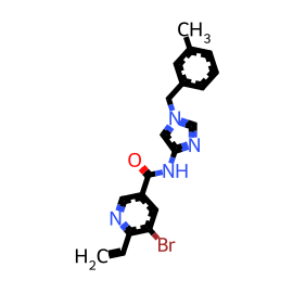 C=Cc1ncc(C(=O)Nc2cn(Cc3cccc(C)c3)cn2)cc1Br